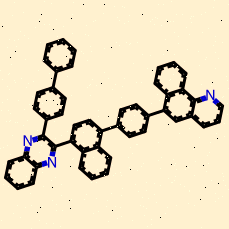 c1ccc(-c2ccc(-c3nc4ccccc4nc3-c3ccc(-c4ccc(-c5cc6cccnc6c6ccccc56)cc4)c4ccccc34)cc2)cc1